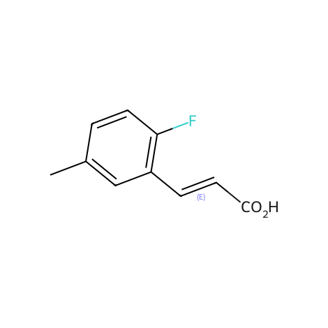 Cc1ccc(F)c(/C=C/C(=O)O)c1